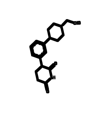 O=CCN1CCC(c2cccc(C3CCC(=O)NC3=O)c2)CC1